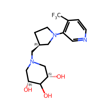 OC1[C@H](O)CN(C[C@H]2CCN(c3cnccc3C(F)(F)F)C2)C[C@@H]1O